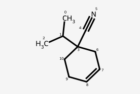 CC(C)C1(C#N)CC=CCC1